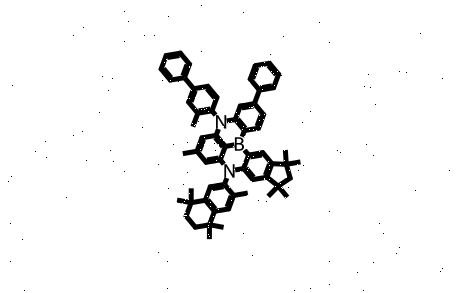 Cc1cc2c3c(c1)N(c1cc4c(cc1C)C(C)(C)CCC4(C)C)c1cc4c(cc1B3c1ccc(-c3ccccc3)cc1N2c1ccc(-c2ccccc2)cc1C)C(C)(C)CC4(C)C